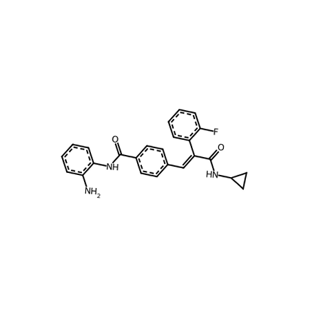 Nc1ccccc1NC(=O)c1ccc(/C=C(/C(=O)NC2CC2)c2ccccc2F)cc1